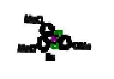 COc1ccc(P(Cl)(Cl)(c2ccc(OC)cc2)c2ccc(OC)cc2)cc1.[Ru]